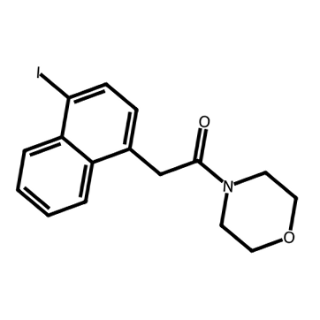 O=C(Cc1ccc(I)c2ccccc12)N1CCOCC1